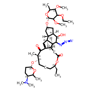 CCOC1C(OC)[C@H](O[C@@H]2C[C@@H]3[C@@H](C2)[C@@H]2C=C4C(=O)[C@H](C)[C@@H](O[C@H]5CC[C@H](N(C)C)C(C)O5)CCC[C@H](CC)OC(=O)C[C@H]4[C@@H]2C(N=[N+]=[N-])[C@@H]3O)OC(C)[C@@H]1OC